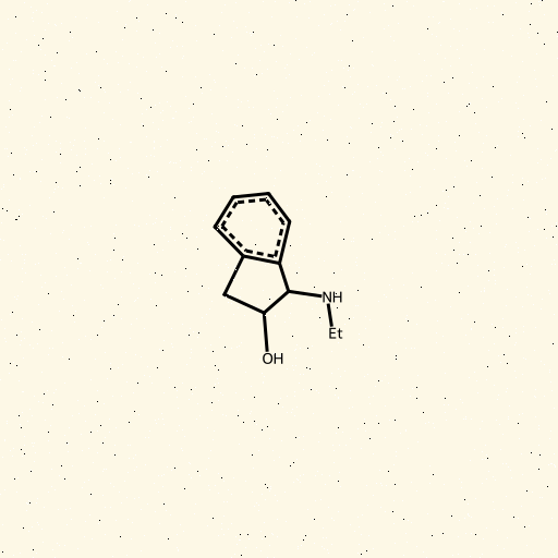 CCNC1c2ccccc2CC1O